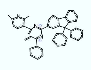 C=C/C(=N\C(=N/C(=C)c1ccc(C)nc1C)c1ccc2c(c1)C(c1ccccc1)(c1ccccc1)c1ccccc1-2)c1ccccc1